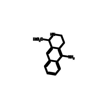 CCOC(=O)C1NCCc2c1cc1ccccc1c2N